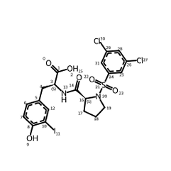 O=C(O)[C@H](Cc1ccc(O)c(I)c1)NC(=O)[C@@H]1CCCN1S(=O)(=O)c1cc(Cl)cc(Cl)c1